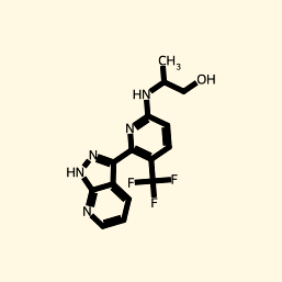 CC(CO)Nc1ccc(C(F)(F)F)c(-c2n[nH]c3ncccc23)n1